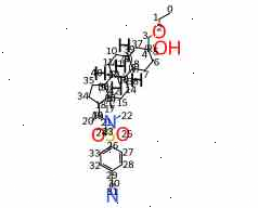 CCOC[C@@]1(O)CC[C@H]2[C@H](CC[C@@H]3[C@@H]2CC[C@]2(C)C([C@@H](C)N(C)S(=O)(=O)c4ccc(C#N)cc4)CC[C@@H]32)C1